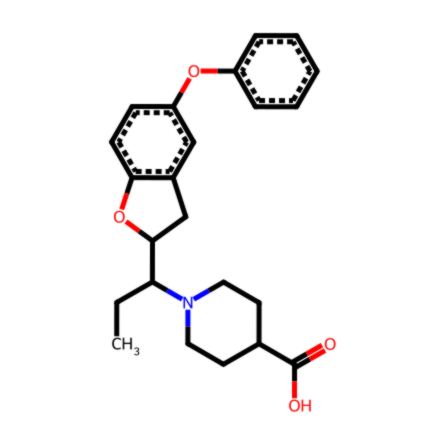 CCC(C1Cc2cc(Oc3ccccc3)ccc2O1)N1CCC(C(=O)O)CC1